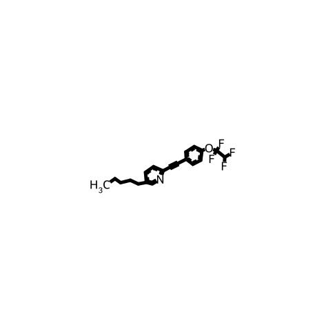 CCCCCc1ccc(C#Cc2ccc(OC(F)(F)C(F)F)cc2)nc1